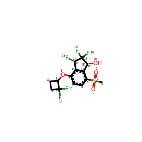 CS(=O)(=O)c1ccc(OC2CCC2(F)F)c2c1[C@H](O)C(F)(F)[C@@H]2F